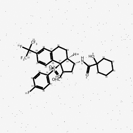 O=CC1C[C@@H](NC(=O)C2(O)CCCCC2)[C@@H]2CCc3cc(C(F)(C(F)(F)F)C(F)(F)F)ccc3[C@@]12S(=O)(=O)c1ccc(F)cc1